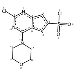 O=S(=O)(Cl)c1cc2nc(Cl)nc(N3CCOCC3)c2s1